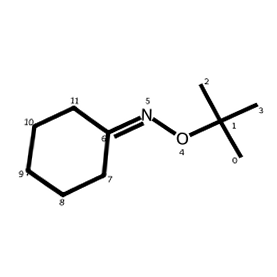 CC(C)(C)ON=C1CC[CH]CC1